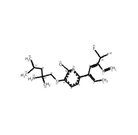 C=N/C(=C\C(=C/C)c1ccc(OCC(C)(N)CC(C)C)c(Cl)n1)C(F)F